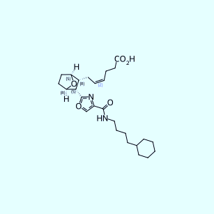 O=C(O)CC/C=C\C[C@@H]1[C@H](c2nc(C(=O)NCCCCC3CCCCC3)co2)[C@H]2CC[C@@H]1O2